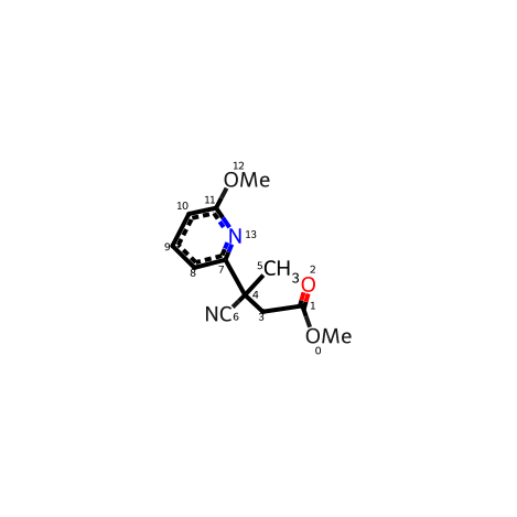 COC(=O)CC(C)(C#N)c1cccc(OC)n1